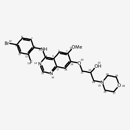 COc1cc2c(Nc3ccc(Br)cc3F)ncnc2cc1OCC(O)CN1CCOCC1